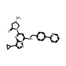 N[C@H]1CC(=O)N(c2cc(NCc3ccc(-c4ccccn4)cc3)n3ncc(C4CC4)c3n2)C1